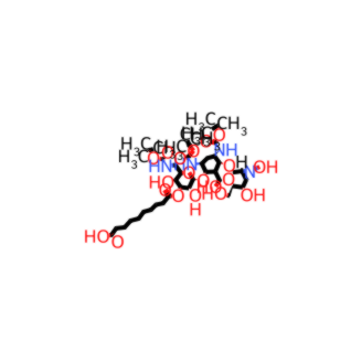 CC(C)(C)OC(=O)NCC1O[C@H](OC2C(CO)[C@@H](OC3O[C@H](CO)C(O)C4[C@H]3N4O)[C@@H](NC(=O)OC(C)(C)C)C[C@@H]2NC(=O)OC(C)(C)C)C(O)C(OC(=O)CCCCCCCCC(=O)O)[C@@H]1O